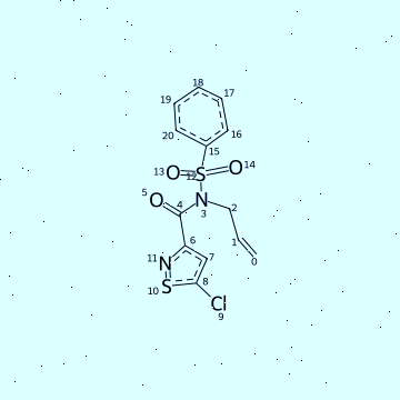 C=CCN(C(=O)c1cc(Cl)sn1)S(=O)(=O)c1ccccc1